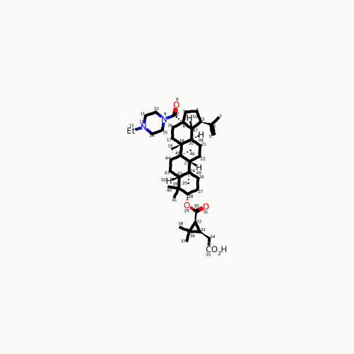 C=C(C)[C@@H]1CC[C@]2(C(=O)N3CCN(CC)CC3)CC[C@]3(C)[C@H](CC[C@@H]4[C@@]5(C)CC[C@H](OC(=O)[C@H]6[C@@H](CC(=O)O)C6(C)C)C(C)(C)[C@@H]5CC[C@]43C)[C@@H]12